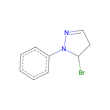 BrC1CC=NN1c1ccccc1